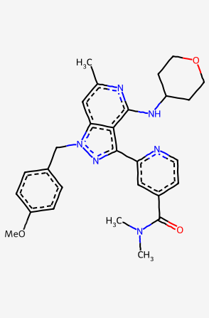 COc1ccc(Cn2nc(-c3cc(C(=O)N(C)C)ccn3)c3c(NC4CCOCC4)nc(C)cc32)cc1